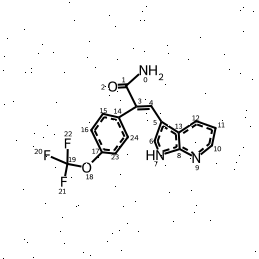 NC(=O)/C(=C/c1c[nH]c2ncccc12)c1ccc(OC(F)(F)F)cc1